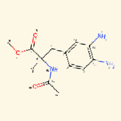 COC(=O)[C@@](C)(Cc1ccc(N)c(N)c1)NC(C)=O